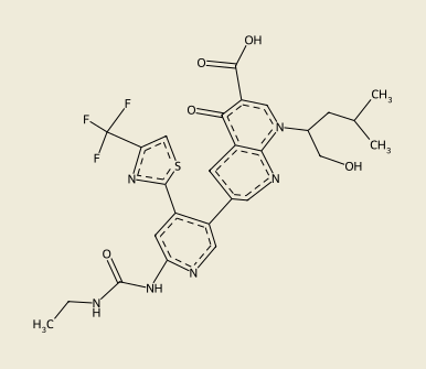 CCNC(=O)Nc1cc(-c2nc(C(F)(F)F)cs2)c(-c2cnc3c(c2)c(=O)c(C(=O)O)cn3C(CO)CC(C)C)cn1